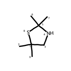 CC1(C)CNC(C)(C)S1